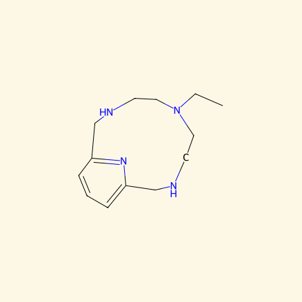 CCN1CCNCc2cccc(n2)CNCC1